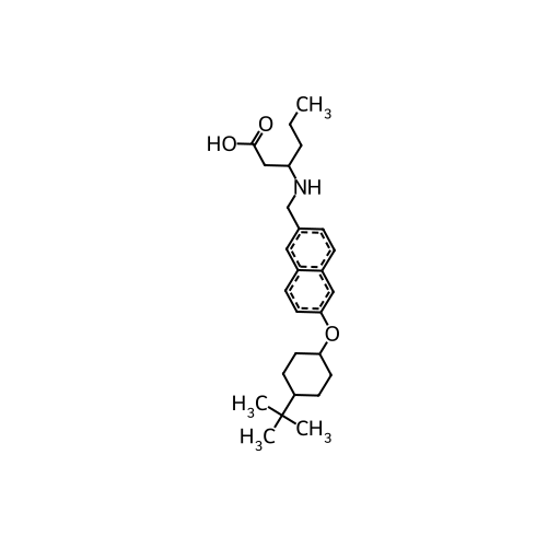 CCCC(CC(=O)O)NCc1ccc2cc(OC3CCC(C(C)(C)C)CC3)ccc2c1